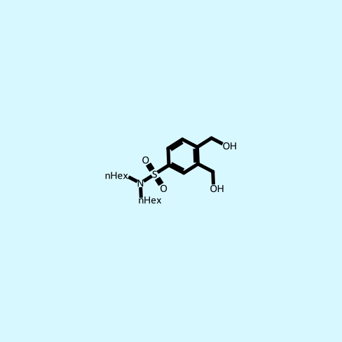 CCCCCCN(CCCCCC)S(=O)(=O)c1ccc(CO)c(CO)c1